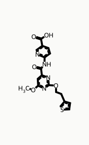 COc1cc(C(=O)Nc2ccc(C(=O)O)cn2)nc(OCCc2ccsc2)n1